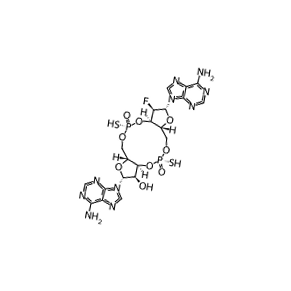 Nc1ncnc2c1ncn2[C@@H]1O[C@@H]2CO[P@](=O)(S)O[C@H]3[C@@H](F)[C@H](n4cnc5c(N)ncnc54)O[C@@H]3CO[P@](=O)(S)O[C@H]2[C@H]1O